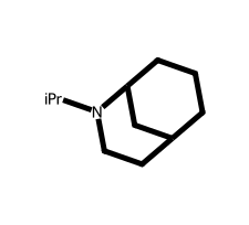 CC(C)N1CCC2CCCC1C2